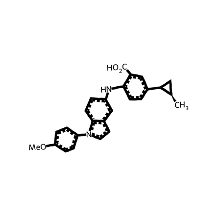 COc1ccc(-n2ccc3cc(Nc4ccc(C5C[C@H]5C)cc4C(=O)O)ccc32)cc1